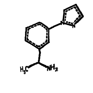 CC(N)c1cccc(-n2cccn2)c1